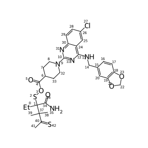 CCC(SOC(=O)C1CCN(c2nc(NCc3ccc4c(c3)OCO4)c3cc(Cl)ccc3n2)CC1)(C(N)=O)C(C)(C)C(C)=S